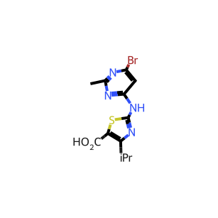 Cc1nc(Br)cc(Nc2nc(C(C)C)c(C(=O)O)s2)n1